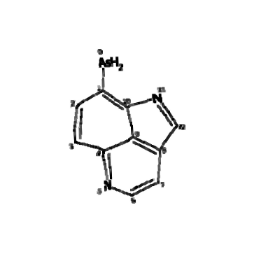 [AsH2]c1ccc2nccc3c2c1N=C3